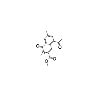 COC(=O)c1cc2c(C(C)=O)cc(C)cc2c(=O)n1C